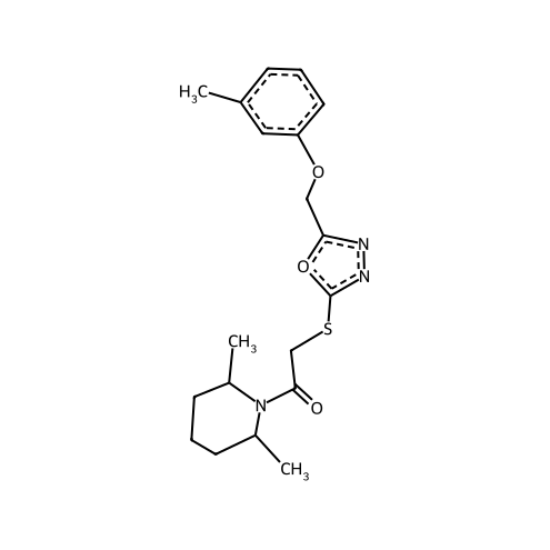 Cc1cccc(OCc2nnc(SCC(=O)N3C(C)CCCC3C)o2)c1